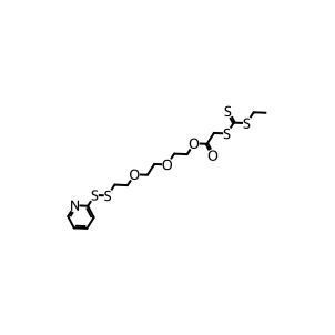 CCSC(=S)SCC(=O)OCCOCCOCCSSc1ccccn1